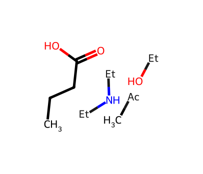 CC(C)=O.CCCC(=O)O.CCNCC.CCO